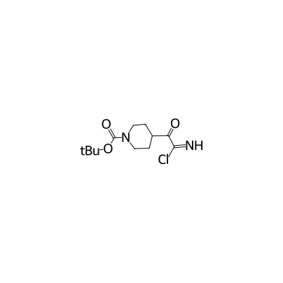 CC(C)(C)OC(=O)N1CCC(C(=O)C(=N)Cl)CC1